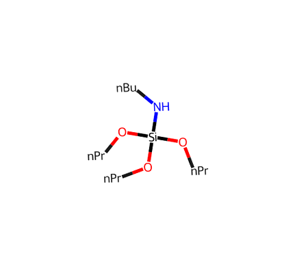 CCCCN[Si](OCCC)(OCCC)OCCC